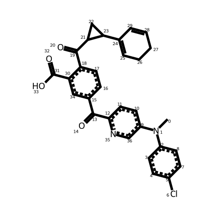 CN(c1ccc(Cl)cc1)c1ccc(C(=O)c2ccc(C(=O)C3CC3C3=CCCC=C3)c(C(=O)O)c2)nc1